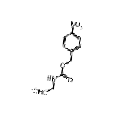 O=[C]CNC(=O)OCc1ccc([N+](=O)[O-])cc1